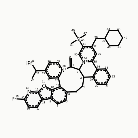 C=C1C2C(CCc3ccc4c(oc5nc(C(C)C)ccc54)c3-c3cc(C(C)C(C)C)cc[n+]31)c1ccccc1-c1cc(CC3CCCCC3)c([Si](C)(C)C)c[n+]12